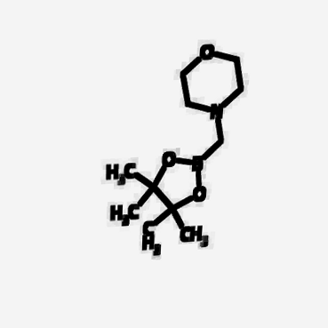 CC1(C)OB(CN2CCOCC2)OC1(C)C